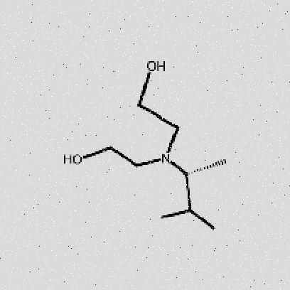 CC(C)[C@@H](C)N(CCO)CCO